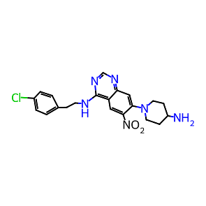 NC1CCN(c2cc3ncnc(NCCc4ccc(Cl)cc4)c3cc2[N+](=O)[O-])CC1